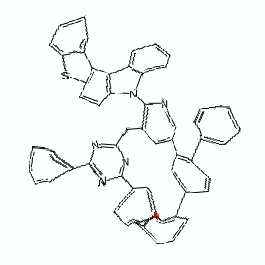 c1ccc(-c2ccc(-c3ccccc3)c(-c3cnc(-n4c5ccccc5c5c6c(ccc54)sc4ccccc46)c(Cc4nc(-c5ccccc5)nc(-c5ccccc5)n4)c3)c2)cc1